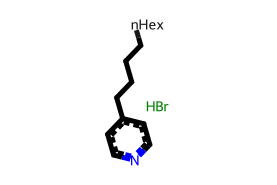 Br.CCCCCCCCCCc1ccncc1